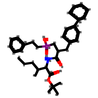 CCCC(C)C(NC(=O)C(Cc1ccc(-c2ccccc2)cc1)CP(=O)(O)CCc1ccccc1)C(=O)OC(C)(C)C